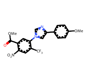 COC(=O)c1cc(-n2cnc(-c3ccc(OC)cc3)c2)c(C(F)(F)F)cc1[N+](=O)[O-]